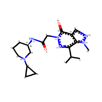 CC(C)c1nn(CC(=O)N[C@@H]2CCCN(C3CC3)C2)c(=O)c2cnn(C)c12